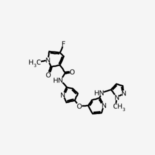 Cn1nccc1Nc1cc(Oc2ccc(NC(=O)c3cc(F)cn(C)c3=O)nc2)ccn1